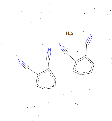 N#Cc1ccccc1C#N.N#Cc1ccccc1C#N.S